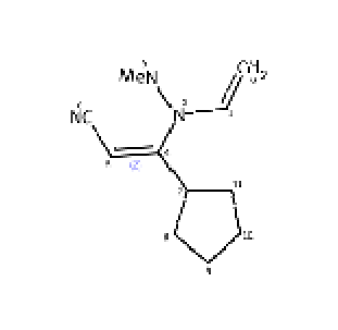 C=CN(NC)/C(=C\C#N)C1CCCC1